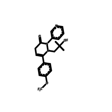 CC(C)(O)CN1C(c2ccc(OC(F)(F)F)cc2)=CCC(=O)N1c1cccnc1